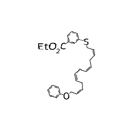 CCOC(=O)c1cccc(SC/C=C\C/C=C\C/C=C\C/C=C\COc2ccccc2)c1